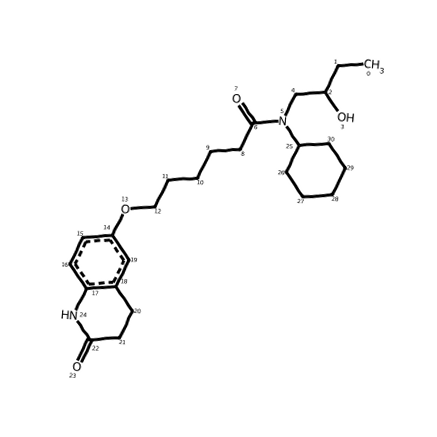 CCC(O)CN(C(=O)CCCCCOc1ccc2c(c1)CCC(=O)N2)C1CCCCC1